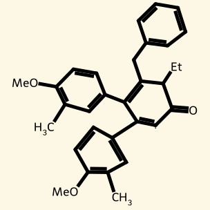 CCC1C(=O)[C]=C(c2ccc(OC)c(C)c2)C(c2ccc(OC)c(C)c2)=C1Cc1ccccc1